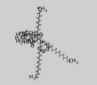 CCCCCCCCCCCC(=O)OCCN(CCOC(=O)CCCCCCCCCCC)CC(CN1C(=O)NC2(CC(C)(C)N(C)C(C)(C)C2)C1=O)OC(=O)CCCCCCCCCCC